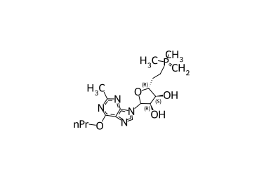 C=P(C)(C)CC[C@H]1OC(n2cnc3c(OCCC)nc(C)nc32)[C@H](O)[C@@H]1O